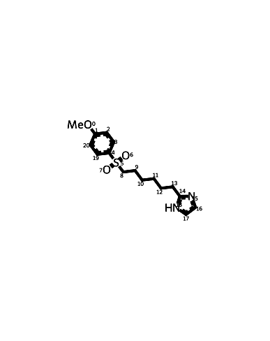 COc1ccc(S(=O)(=O)CCCCCCc2ncc[nH]2)cc1